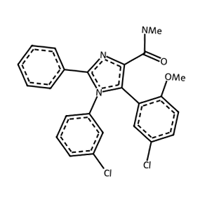 CNC(=O)c1nc(-c2ccccc2)n(-c2cccc(Cl)c2)c1-c1cc(Cl)ccc1OC